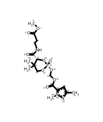 COC(=O)CCNC(=O)[C@@H]1O[P@@](=O)(OCOC(=O)c2cc(C)nn2C)OCC1(C)C